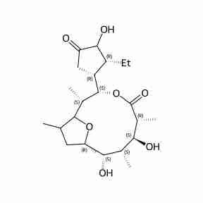 CC[C@H]1C(O)C(=O)C[C@H]1[C@@H]1OC(=O)[C@H](C)[C@@H](O)[C@H](C)[C@H](O)[C@@]2(C)CC(C)C(O2)[C@@H]1C